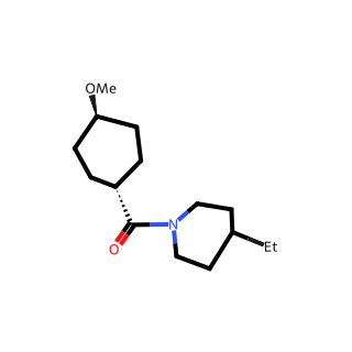 CCC1CCN(C(=O)[C@H]2CC[C@H](OC)CC2)CC1